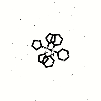 C1CCC([PH](C2CCCCC2)(C2CCCCC2)[PH](C2CCCC2)(C2CCCC2)C2CCCC2)CC1